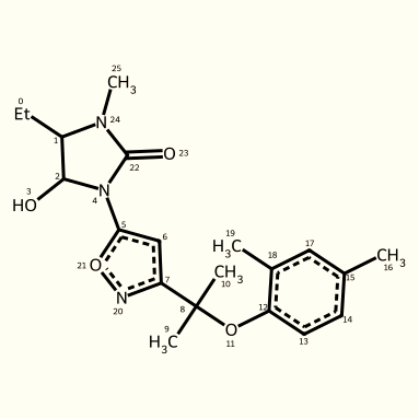 CCC1C(O)N(c2cc(C(C)(C)Oc3ccc(C)cc3C)no2)C(=O)N1C